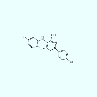 OC1=NN(c2ccc(O)cc2)CC2=C1Nc1cc(Cl)ccc1C2